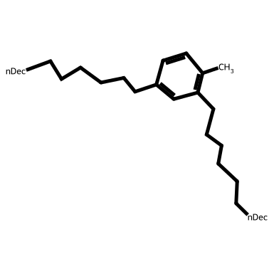 CCCCCCCCCCCCCCCCc1ccc(C)c(CCCCCCCCCCCCCCCC)c1